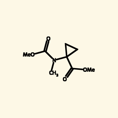 COC(=O)N(C)C1(C(=O)OC)CC1